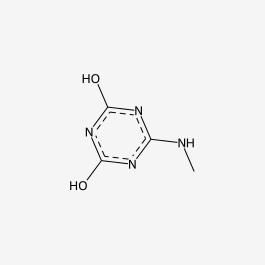 CNc1nc(O)nc(O)n1